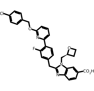 O=C(O)c1ccc2nc(Cc3ccc(-c4cccc(OCc5ccc(Cl)cc5)n4)c(F)c3)n(C[C@@H]3CCO3)c2c1